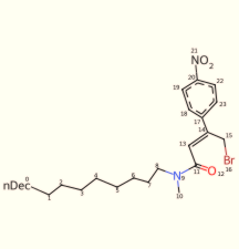 CCCCCCCCCCCCCCCCCCN(C)C(=O)C=C(CBr)c1ccc([N+](=O)[O-])cc1